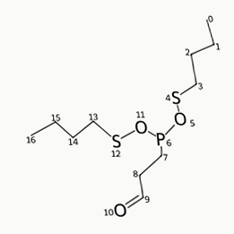 CCCCSOP(CCC=O)OSCCCC